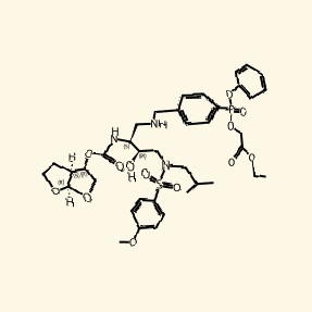 CCOC(=O)COP(=O)(Oc1ccccc1)c1ccc(CNC[C@H](NC(=O)O[C@H]2CO[C@H]3OCC[C@H]32)[C@H](O)CN(CC(C)C)S(=O)(=O)c2ccc(OC)cc2)cc1